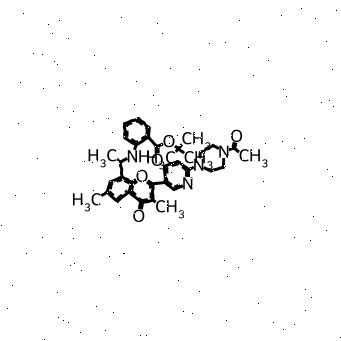 CC(=O)N1CCN(c2ccc(-c3oc4c([C@@H](C)Nc5ccccc5C(=O)OC(C)(C)C)cc(C)cc4c(=O)c3C)cn2)CC1